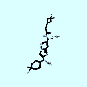 COC[C@H](NC(=O)CC1CC(F)(F)C1)c1cnn2cc([C@@H](N)C3CCC(F)(F)CC3)nc2c1